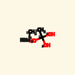 CC(O)(O)O.CNC